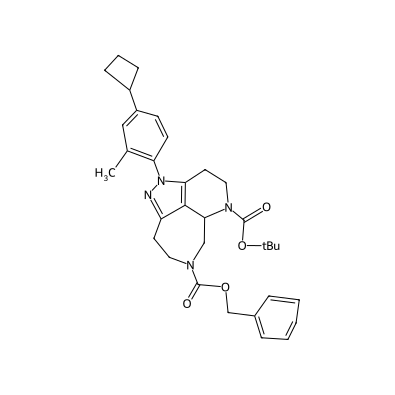 Cc1cc(C2CCC2)ccc1-n1nc2c3c1CCN(C(=O)OC(C)(C)C)C3CN(C(=O)OCc1ccccc1)CC2